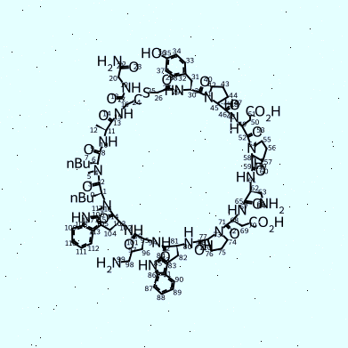 CCCC[C@H]1C(=O)N(C)[C@@H](CCCC)C(=O)N[C@@H](C)C(=O)N[C@H](C(=O)NCC(N)=O)CSCC(=O)N[C@@H](Cc2ccc(O)cc2)C(=O)N2CCC[C@H]2C(=O)NC(CC(=O)O)C(=O)N2CCC[C@H]2C(=O)N[C@@H](CN)C(=O)N[C@@H](CC(=O)O)C(=O)N2CCC[C@H]2C(=O)N[C@@H](Cc2c[nH]c3ccccc23)C(=O)N[C@@H](CCCN)C(=O)N[C@@H](Cc2c[nH]c3ccccc23)C(=O)N1C